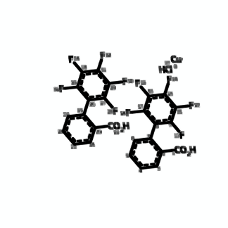 Cl.O=C(O)c1ccccc1-c1c(F)c(F)c(F)c(F)c1F.O=C(O)c1ccccc1-c1c(F)c(F)c(F)c(F)c1F.[Cu]